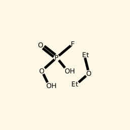 CCOCC.O=P(O)(F)OO